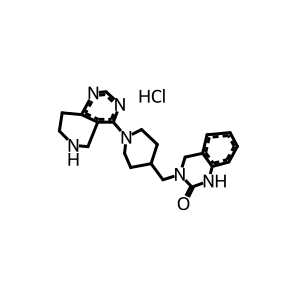 Cl.O=C1Nc2ccccc2CN1CC1CCN(c2ncnc3c2CNCC3)CC1